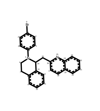 Brc1ccc(N2CCc3ccccc3C2Cc2ccc3ccccc3n2)cc1